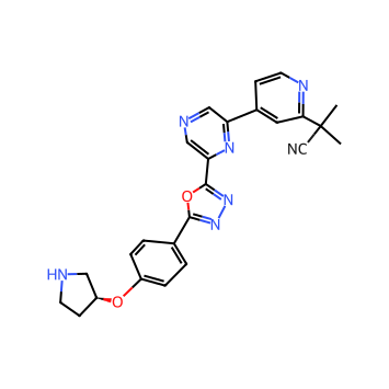 CC(C)(C#N)c1cc(-c2cncc(-c3nnc(-c4ccc(O[C@H]5CCNC5)cc4)o3)n2)ccn1